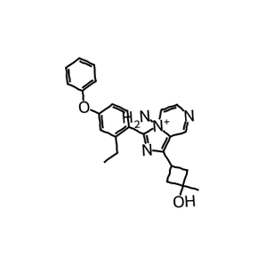 CCc1cc(Oc2ccccc2)ccc1C1=NC(C2CC(C)(O)C2)=C2C=NC=C[N+]12N